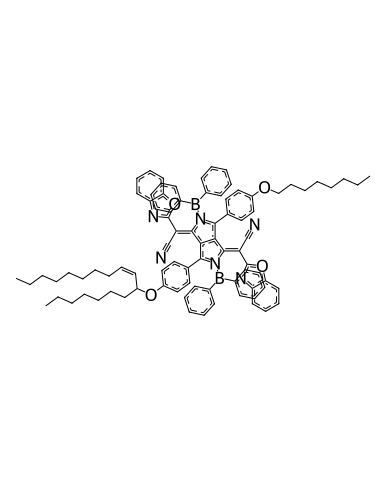 CCCCCCCC/C=C\C(CCCCCCC)Oc1ccc(-c2c3/c(=C(\C#N)c4nc5ccccc5o4)n(B(c4ccccc4)c4ccccc4)c(-c4ccc(OCCCCCCCC)cc4)c3/c(=C(\C#N)c3nc4ccccc4o3)n2B(c2ccccc2)c2ccccc2)cc1